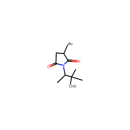 CCC(C)C1CC(=O)N(C(C)C(C)(C)C=O)C1=O